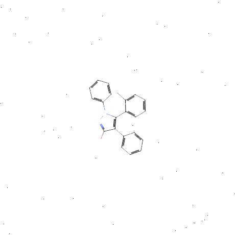 Cc1ccccc1-c1c(-c2ccccc2)c(O)nn1-c1ccccc1